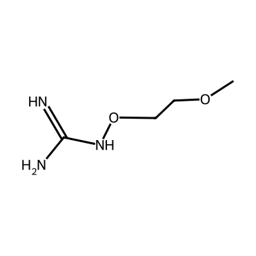 COCCONC(=N)N